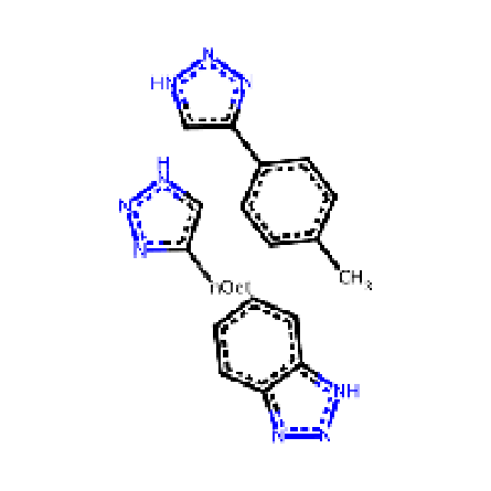 CCCCCCCCc1c[nH]nn1.Cc1ccc(-c2c[nH]nn2)cc1.c1ccc2[nH]nnc2c1